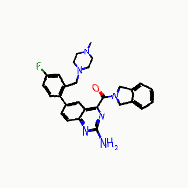 CN1CCN(Cc2cc(F)ccc2-c2ccc3nc(N)nc(C(=O)N4Cc5ccccc5C4)c3c2)CC1